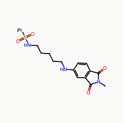 CC(C)S(=O)(=O)NCCCCCNc1ccc2c(c1)C(=O)N(C)C2=O